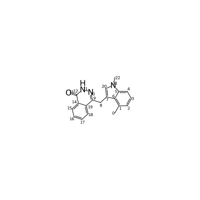 Cc1cccc2c1c(Cc1n[nH]c(=O)c3ccccc13)cn2C